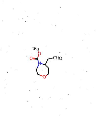 CC(C)(C)OC(=O)N1CCOCCC1CC=O